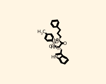 Cc1ccc(S(=O)(=O)N[C@@H](Cc2c[nH]c3ccccc23)C(=O)NCCCc2ccccc2)cc1